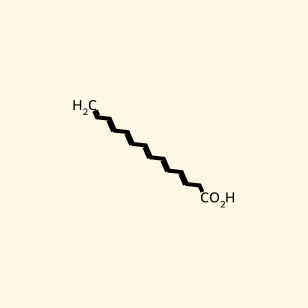 C=C/C=C/C=C/C=C/C=C/C=C/CC(=O)O